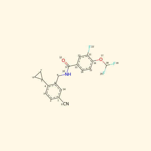 N#Cc1ccc(C2CC2)c(CNC(=O)c2ccc(OC(F)F)c(F)c2)c1